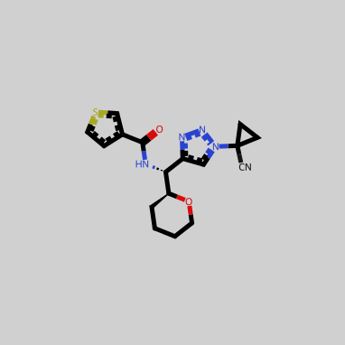 N#CC1(n2cc([C@@H](NC(=O)c3ccsc3)[C@@H]3CCCCO3)nn2)CC1